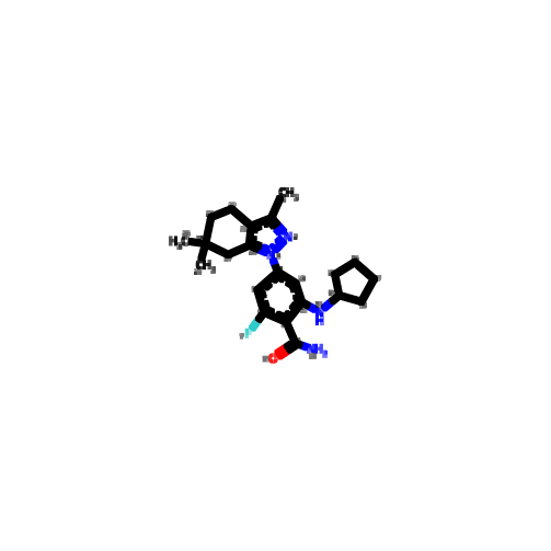 Cc1nn(-c2cc(F)c(C(N)=O)c(NC3CCCC3)c2)c2c1CCC(C)(C)C2